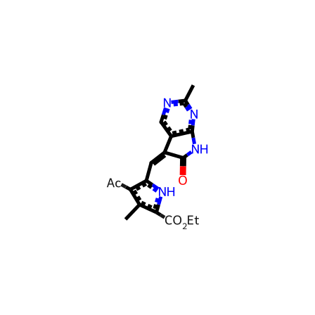 CCOC(=O)c1[nH]c(C=C2C(=O)Nc3nc(C)ncc32)c(C(C)=O)c1C